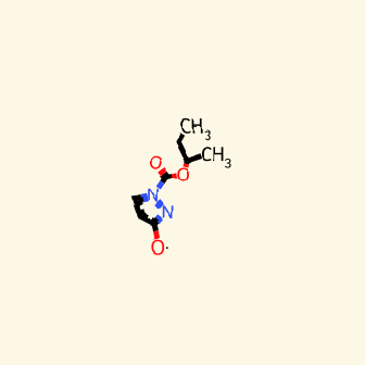 CCC(C)OC(=O)n1ccc([O])n1